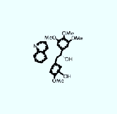 COc1ccc(C[C@@H](O)c2cc(OC)c(OC)c(OC)c2)cc1O.c1ccc2ncccc2c1